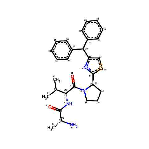 CC(C)[C@@H](NC(=O)[C@@H](C)N)C(=O)N1CCC[C@@H]1c1nc(C(c2ccccc2)c2ccccc2)cs1